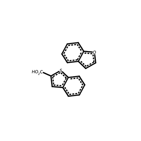 O=C(O)c1cc2ccccc2s1.c1ccc2occc2c1